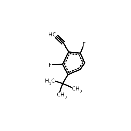 C#Cc1c(F)ccc(C(C)(C)C)c1F